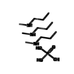 CCCNC.CCCNC.CCCNC.O=P(O)(O)O